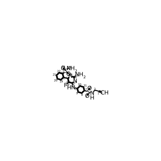 C#CCNS(=O)(=O)c1ccc(Nc2nc(N)nc(-c3ccccc3S(N)(=O)=O)c2F)cc1